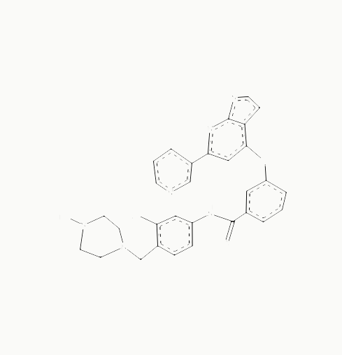 CN1CCN(Cc2ccc(NC(=O)c3cccc(Oc4cc(-c5cccnc5)nc5[nH]ccc45)c3)cc2C(F)(F)F)CC1